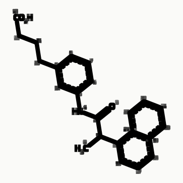 CC(C(=O)Nc1cccc(CCCC(=O)O)c1)c1cccc2ccccc12